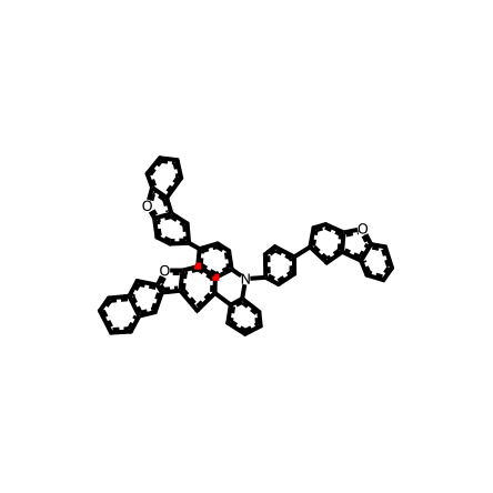 c1ccc(N(c2ccc(-c3ccc4oc5ccccc5c4c3)cc2)c2ccc(-c3ccc4oc5ccccc5c4c3)cc2)c(-c2ccc3oc4cc5ccccc5cc4c3c2)c1